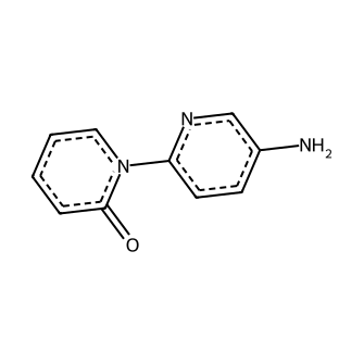 Nc1ccc(-n2ccccc2=O)nc1